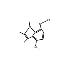 CCOc1ccc(N)c2c(C)c(C)n(C)c12